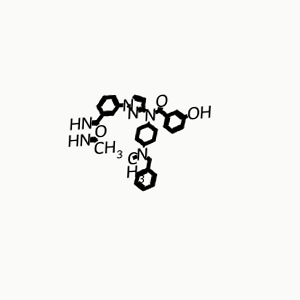 CC(=N)OC(=N)c1cccc(-n2ccc(N(C(=O)c3cccc(O)c3)[C@H]3CC[C@@H](N(C)Cc4ccccc4)CC3)n2)c1